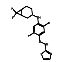 Fc1cc(NC2CCC3C(C2)C3(F)F)c(Cl)cc1SNc1nccs1